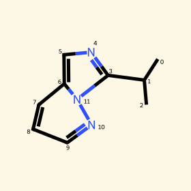 CC(C)c1ncc2cccnn12